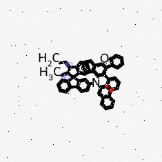 C=C/C=C1\C(=C/C)C2(c3ccccc31)c1ccccc1-c1ccc(N(c3ccc4ccccc4c3)c3c(-c4ccccc4)c4c5ccccc5oc4c4ccccc34)cc12